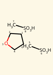 C1CCOC1.CS(=O)(=O)O.CS(=O)(=O)O